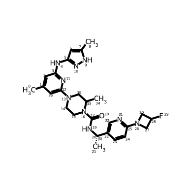 Cc1cc(Nc2cc(C)[nH]n2)nc(N2CCN(C(=O)N[C@@H](C)c3ccc(N4CC(F)C4)nc3)C(C)C2)c1